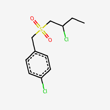 CCC(Cl)CS(=O)(=O)Cc1ccc(Cl)cc1